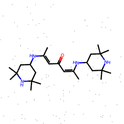 CC(=CC(=O)C=C(C)NC1CC(C)(C)NC(C)(C)C1)NC1CC(C)(C)NC(C)(C)C1